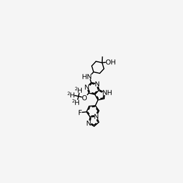 [2H]C([2H])([2H])Oc1nc(NC2CCC(C)(O)CC2)nc2[nH]cc(-c3cc(F)c4nccn4c3)c12